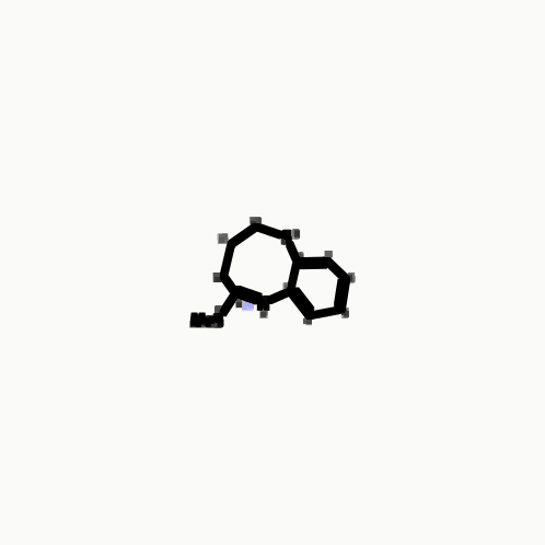 CS/C1=N/c2ccccc2SCCC1